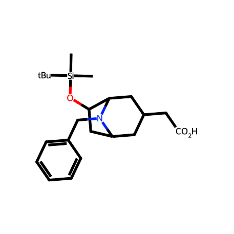 CC(C)(C)[Si](C)(C)OC1CC2CC(CC(=O)O)CC1N2Cc1ccccc1